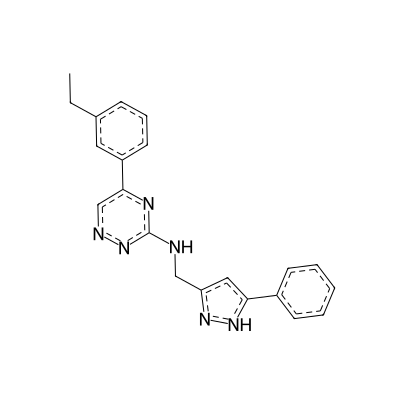 CCc1cccc(-c2cnnc(NCc3cc(-c4ccccc4)[nH]n3)n2)c1